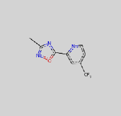 Cc1noc(-c2cc(C(F)(F)F)ccn2)n1